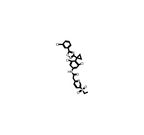 CCS(=O)(=O)c1ccc(CC(=O)Nc2cc(Cl)c(C3(c4noc(-c5cccc(Cl)c5)n4)CC3)c(Cl)c2)nc1